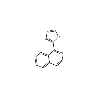 c1ccc2c(-c3ncco3)nccc2c1